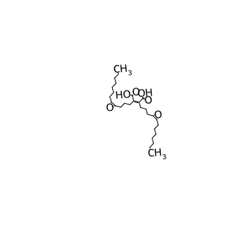 CCCCCCCC1OC1CCC/C(C(=O)O)=C(\CCCC1OC1CCCCCCC)C(=O)O